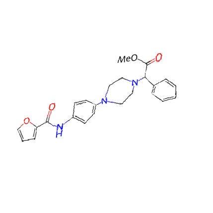 COC(=O)C(c1ccccc1)N1CCN(c2ccc(NC(=O)c3ccco3)cc2)CC1